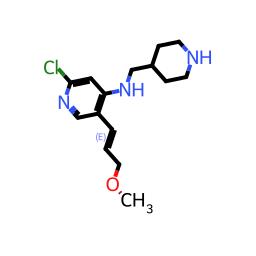 COC/C=C/c1cnc(Cl)cc1NCC1CCNCC1